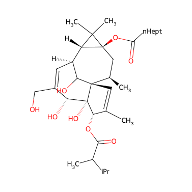 CCCCCCCC(=O)O[C@@]12C[C@@H](C)[C@]34C=C(C)[C@H](OC(=O)C(C)C(C)C)[C@@]3(O)[C@H](O)C(CO)=C[C@H](C4O)[C@@H]1C2(C)C